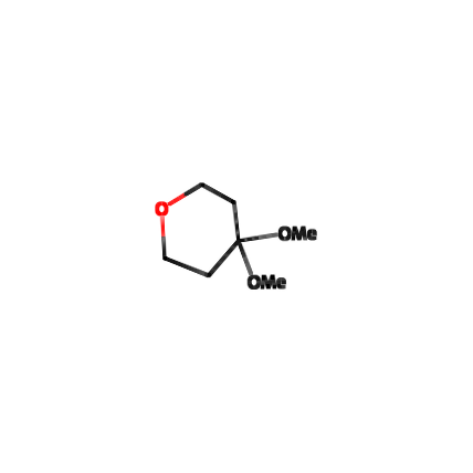 COC1(OC)CCOCC1